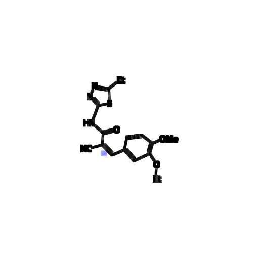 CCOc1cc(/C=C(/C#N)C(=O)Nc2nnc(CC)s2)ccc1OC